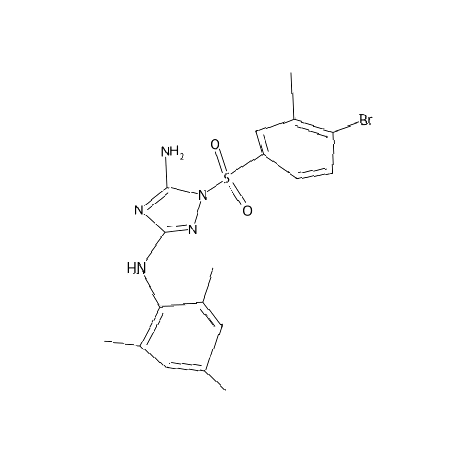 Cc1cc(C)c(Nc2nc(N)n(S(=O)(=O)c3ccc(Br)c(C)c3)n2)c(C)c1